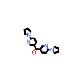 O=C(c1ccc(-n2cccc2)nc1)c1ccc(-n2cccc2)nc1